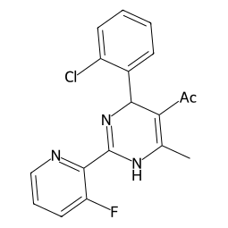 CC(=O)C1=C(C)NC(c2ncccc2F)=NC1c1ccccc1Cl